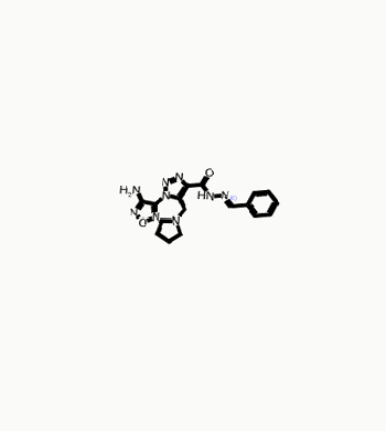 Nc1nonc1-n1nnc(C(=O)N/N=C/c2ccccc2)c1CN1CCCC1